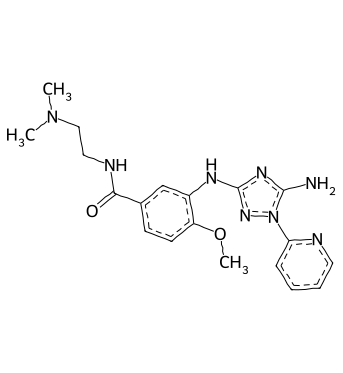 COc1ccc(C(=O)NCCN(C)C)cc1Nc1nc(N)n(-c2ccccn2)n1